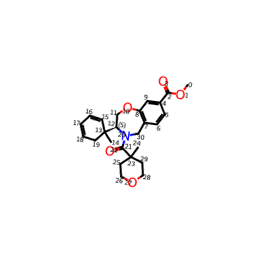 COC(=O)c1ccc2c(c1)OC[C@H](C1(C)C=CC=CC1)N(C(=O)C1(C)CCOCC1)C2